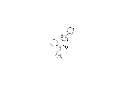 C=CCN(C(=O)c1csc(-c2ccccc2)n1)C1CCCCC1